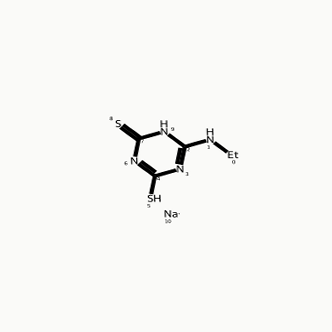 CCNc1nc(S)nc(=S)[nH]1.[Na]